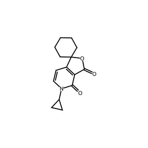 O=C1OC2(CCCCC2)c2ccn(C3CC3)c(=O)c21